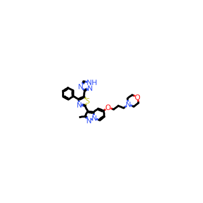 Cc1nn2ccc(OCCCN3CCOCC3)cc2c1-c1nc(-c2ccccc2)c(-c2nc[nH]n2)s1